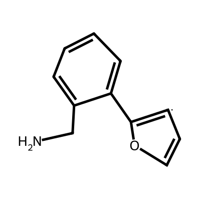 NCc1ccccc1-c1[c]cco1